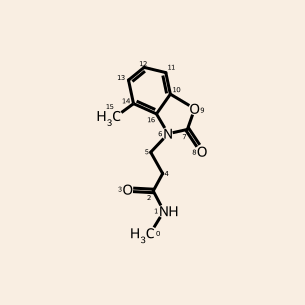 CNC(=O)CCn1c(=O)oc2cccc(C)c21